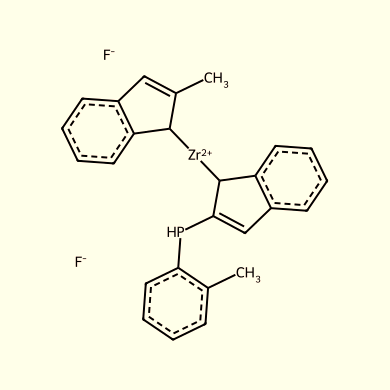 CC1=Cc2ccccc2[CH]1[Zr+2][CH]1C(Pc2ccccc2C)=Cc2ccccc21.[F-].[F-]